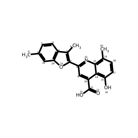 Cc1ccc2c(C)c(-c3cc(C(=O)O)c4c(O)ccc(C)c4n3)oc2c1